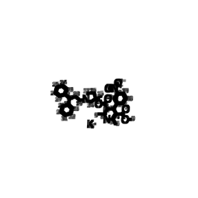 COC(=O)C1=C(C)N=C(C)[C@@H](C(=O)O[C@@]2(C)CCN(CCC(c3ccccc3)c3ccccc3)C2)C1c1cccc([N+](=O)[O-])c1.[K]